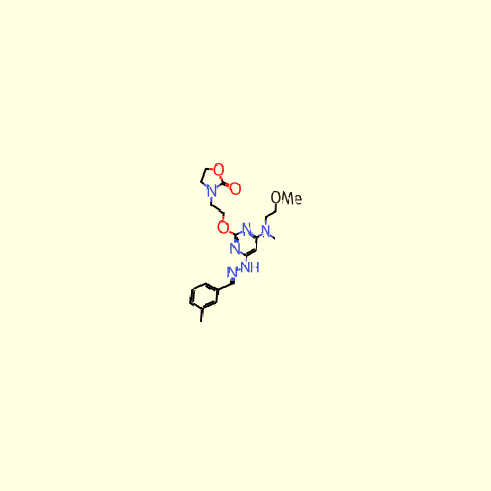 COCCN(C)c1cc(N/N=C/c2cccc(C)c2)nc(OCCN2CCOC2=O)n1